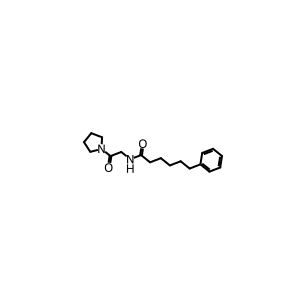 O=C(CCCCCc1ccccc1)NCC(=O)N1CCCC1